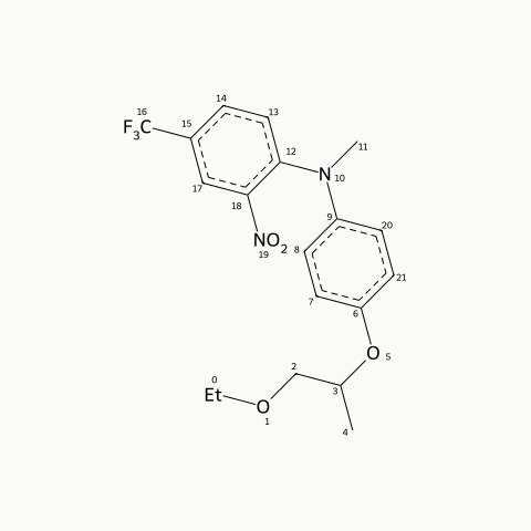 CCOCC(C)Oc1ccc(N(C)c2ccc(C(F)(F)F)cc2[N+](=O)[O-])cc1